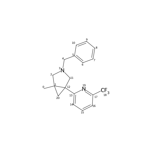 CC12CN(Cc3ccccc3)CC1(c1cccc(C(F)(F)F)n1)C2